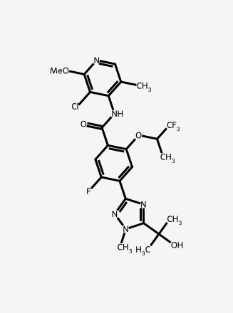 COc1ncc(C)c(NC(=O)c2cc(F)c(-c3nc(C(C)(C)O)n(C)n3)cc2OC(C)C(F)(F)F)c1Cl